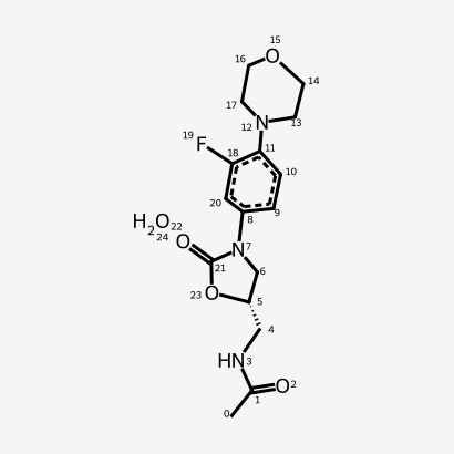 CC(=O)NC[C@H]1CN(c2ccc(N3CCOCC3)c(F)c2)C(=O)O1.O